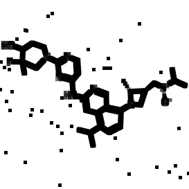 CC(C)c1ccc(N2C[C@H](C[S@@+]([O-])C(C)C)[C@H]2C)c2cnc(Nc3ccnc(N4CCC(O)C(C)(F)C4)n3)cc12